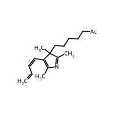 C=C/C=C\C1=C(C)N=C(C)C1(C)CCCCCC(C)=O